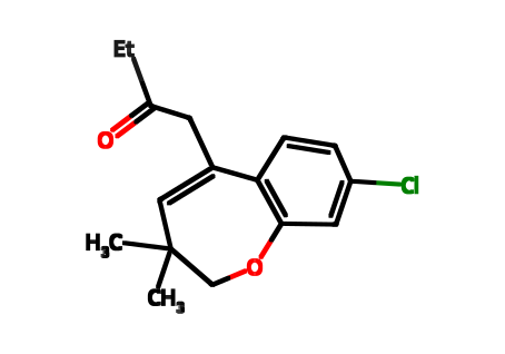 CCC(=O)CC1=CC(C)(C)COc2cc(Cl)ccc21